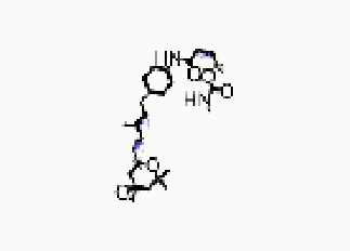 CNC(=O)O[C@@H](C)/C=C\C(=O)N[C@H]1CC[C@@H](C/C=C(C)/C=C/[C@@H]2C[C@]3(CO3)CC(C)(C)O2)CC1